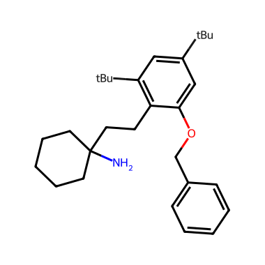 CC(C)(C)c1cc(OCc2ccccc2)c(CCC2(N)CCCCC2)c(C(C)(C)C)c1